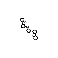 c1cc(Nc2cccc3c2oc2ccccc23)cc(-c2cccc3c2sc2ccccc23)c1